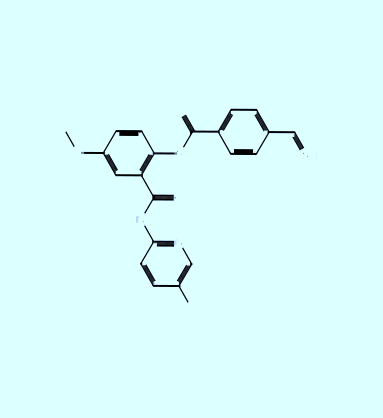 COc1ccc(NC(=O)c2ccc(C=N)cc2)c(C(=O)Nc2ccc(Cl)cn2)c1